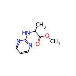 COC(=O)C(C)Nc1ncccn1